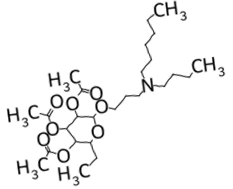 CCCCCCN(CCCC)CCCOC1OC(CC)C(OC(C)=O)C(OC(C)=O)C1OC(C)=O